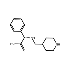 O=C(O)[C@@H](NCC1CCNCC1)c1ccccc1